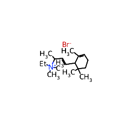 CC[N+](C)(C)C(C)C=CC1C(C)=CCCC1(C)C.[Br-]